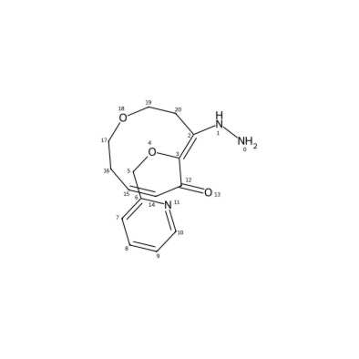 NN/C1=C(/OCc2ccccn2)C(=O)/C=C\CCOCC1